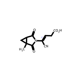 CC12CC1C(=O)N(/C(C#N)=C/CC(=O)O)C2=O